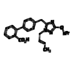 C/C=C/Cn1nc(OCCC)nc1Cc1ccc(-c2ccccc2C(=O)O)cc1